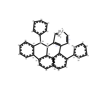 C=C/C(=C(\C=C/C)c1ccccc1-c1ncccn1)N1B(c2ccccc2)c2ccccc2-c2ccccc21